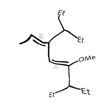 C/C=C(\C=C(/OC)C(CC)CC)C(CC)CC